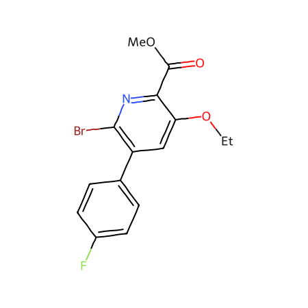 CCOc1cc(-c2ccc(F)cc2)c(Br)nc1C(=O)OC